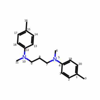 Cc1ccc(N(C)CCCN(C)c2ccc(C)cc2)cc1